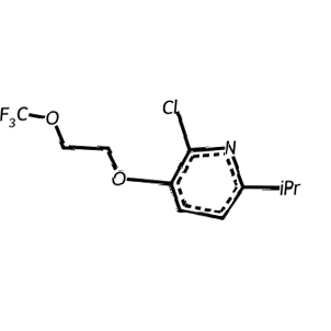 CC(C)c1ccc(OCCOC(F)(F)F)c(Cl)n1